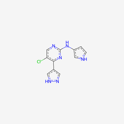 Clc1cnc(Nc2cc[nH]c2)nc1-c1cn[nH]c1